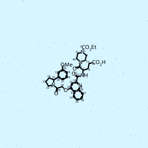 CCOC(=O)N1CCN(C(=O)C(CCC(=O)O)NC(=O)c2cc(OCC(=O)N3CCCC3c3cccc(OC)c3)c3ccccc3n2)CC1